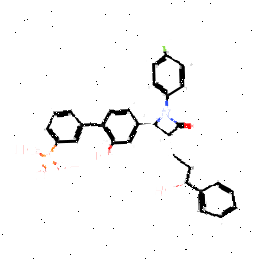 O=C1[C@H](CC[C@H](O)c2ccccc2)[C@@H](c2ccc(-c3cccc(P(=O)(O)O)c3)c(O)c2)N1c1ccc(F)cc1